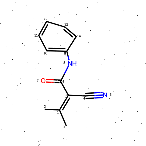 CC(C)=C(C#N)C(=O)Nc1ccccc1